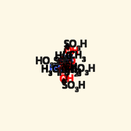 C=c1c(C(=O)NC2=C(C(C)C)C2C)cc(Oc2ccc(S(=O)(=O)O)cc2CCCCCCCCc2cc(S(=O)(=O)O)ccc2O)c(-c2c(Oc3ccc(S(=O)(=O)O)cc3CCCCCCCCc3cc(S(=O)(=O)O)ccc3O)cc(C(=O)NC=C(C)C)c(CC)c2CC)c1=C(C)C